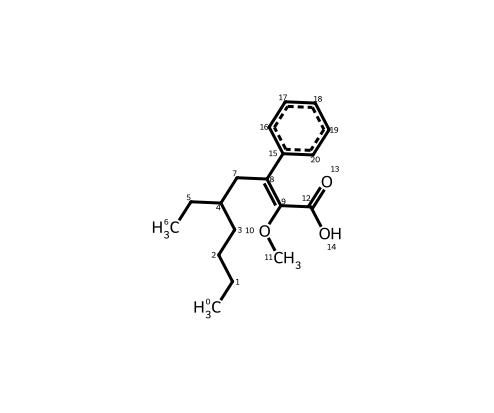 CCCCC(CC)CC(=C(OC)C(=O)O)c1ccccc1